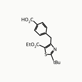 CCOC(=O)c1sc(C(C)(C)C)nc1Cc1ccc(C(=O)O)cc1